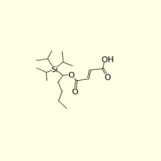 CCCCC(OC(=O)/C=C/C(=O)O)[Si](C(C)C)(C(C)C)C(C)C